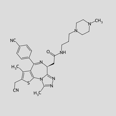 Cc1c(CC#N)sc2c1C(c1ccc(C#N)cc1)=N[C@@H](CC(=O)NCCCN1CCN(C)CC1)c1nnc(C)n1-2